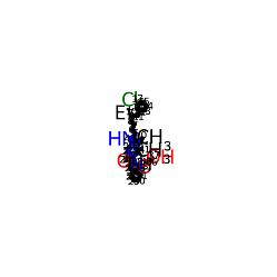 CC=C(C(=N)/C=C/C=C/C(CC)Cc1cccc(Cl)c1)N1CCN(C(=O)c2cc3ccccc3c(OCCO)n2)CC1C